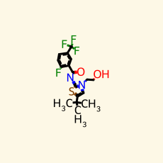 CC(C)(C)c1cn(CCO)c(=NC(=O)c2cc(C(F)(F)F)ccc2F)s1